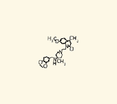 COc1ccc2c(C)cc(=O)n(CCN3CCC(C)(NCc4ccc5c(c4)OCCO5)CC3)c2c1